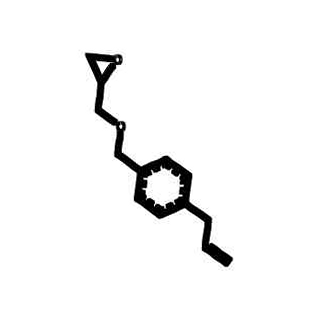 C=CCc1ccc(COCC2CO2)cc1